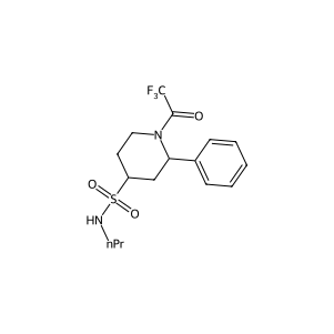 CCCNS(=O)(=O)C1CCN(C(=O)C(F)(F)F)C(c2ccccc2)C1